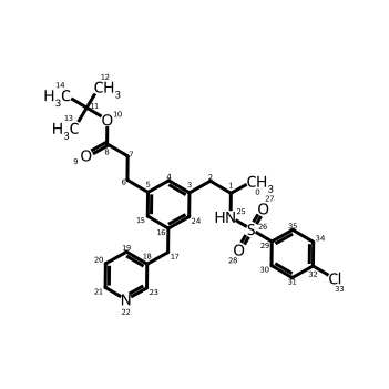 CC(Cc1cc(CCC(=O)OC(C)(C)C)cc(Cc2cccnc2)c1)NS(=O)(=O)c1ccc(Cl)cc1